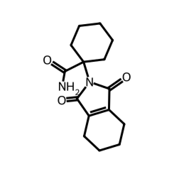 NC(=O)C1(N2C(=O)C3=C(CCCC3)C2=O)CCCCC1